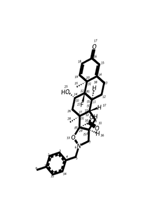 Cc1ccc(CN2C[C@@H]3C[C@H]4[C@@H]5CCC6=CC(=O)C=C[C@]6(C)[C@@]5(F)[C@@H](O)C[C@]4(C)[C@]3(C(=O)O)O2)cc1